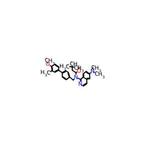 COc1ccc(-c2ccc(CN(C(=O)CC(C)(C)C)c3nccc4cc(N(C)C)ccc34)cc2)cc1C